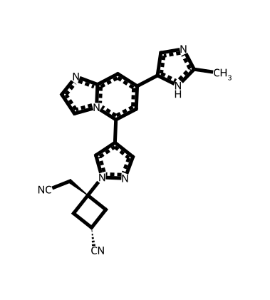 Cc1ncc(-c2cc(-c3cnn([C@]4(CC#N)C[C@H](C#N)C4)c3)n3ccnc3c2)[nH]1